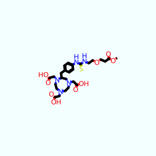 COC(=O)CCOCCNC(=S)Nc1ccc(CC2CN(CC(=O)O)CCN(CC(=O)O)CCN2CC(=O)O)cc1